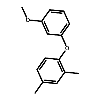 COc1cccc(Oc2ccc(C)cc2C)c1